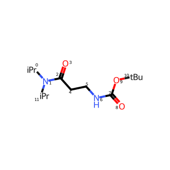 CC(C)N(C(=O)CCNC(=O)OC(C)(C)C)C(C)C